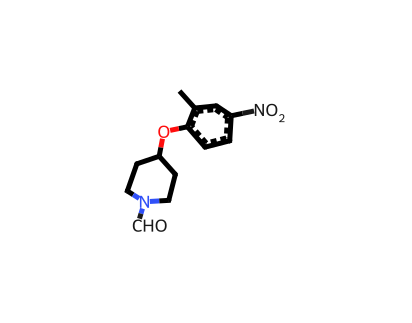 Cc1cc([N+](=O)[O-])ccc1OC1CCN(C=O)CC1